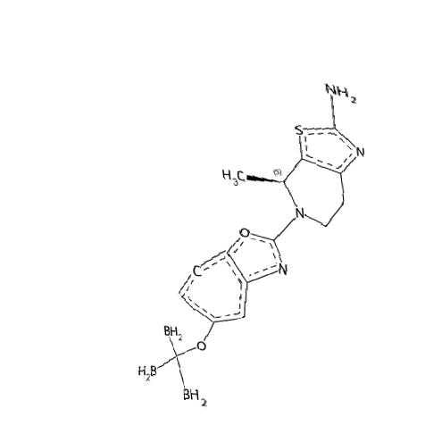 BC(B)(B)Oc1ccc2oc(N3CCc4nc(N)sc4[C@@H]3C)nc2c1